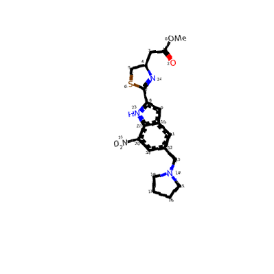 COC(=O)CC1CSC(c2cc3cc(CN4CCCC4)cc([N+](=O)[O-])c3[nH]2)=N1